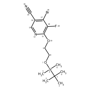 CC(C)(C)[Si](C)(C)OCCOc1ncc(C#N)c(Br)c1F